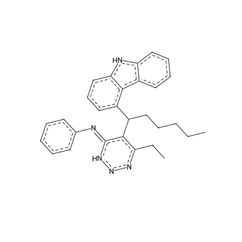 CCCCCC(c1c(CC)nn[nH]c1=Nc1ccccc1)c1cccc2[nH]c3ccccc3c12